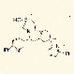 CC(C)c1ccc(C(CC2CC(C)(c3cccc(C(C)C)n3)CCN2C)N2CCC[C@H](O)C2)cn1